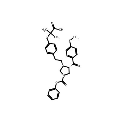 CSc1ccc(C(=O)[C@@H]2CN(C(=O)Oc3ccccc3)C[C@H]2CCc2ccc(OC(C)(C)C(=O)O)cc2)cc1